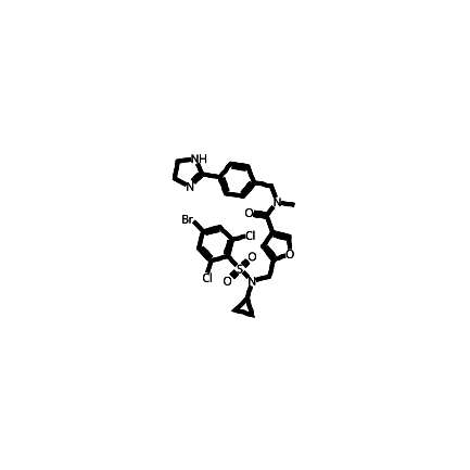 CN(Cc1ccc(C2=NCCN2)cc1)C(=O)c1coc(CN(C2CC2)S(=O)(=O)c2c(Cl)cc(Br)cc2Cl)c1